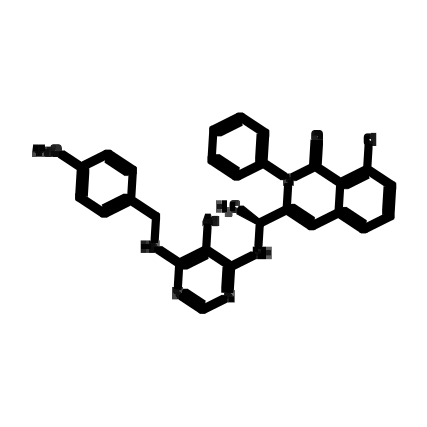 COc1ccc(CNc2ncnc(N[C@@H](C)c3cc4cccc(Cl)c4c(=O)n3-c3ccccc3)c2C(C)=O)cc1